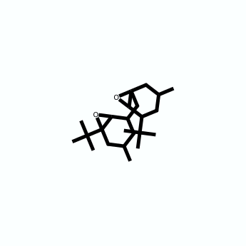 CC1CC(C(C)(C)C)C2OC2(CC2CC(C)CC3(C(C)(C)C)OC23)C1